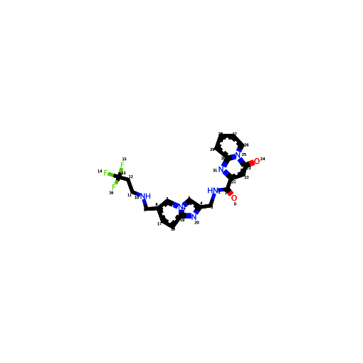 O=C(NCc1cn2cc(CNCCC(F)(F)F)ccc2n1)c1cc(=O)n2ccccc2n1